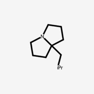 CC(C)CC12CCCN1CCC2